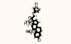 CC12CCC(=O)C=C1CCC1C2[C@@H](O)CC2(C)C1CC[C@]2(O)C(=O)CSc1c[nH]nn1